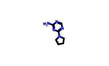 Nc1ncnc(N2CCCC2)n1